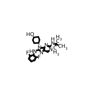 CC(C)(C)Nc1ncc2nc(Nc3c(F)cccc3F)n([C@H]3CC[C@@H](O)CC3)c2n1